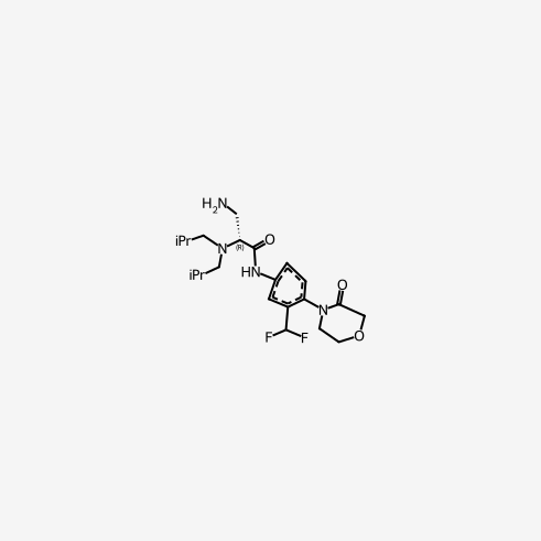 CC(C)CN(CC(C)C)[C@H](CN)C(=O)Nc1ccc(N2CCOCC2=O)c(C(F)F)c1